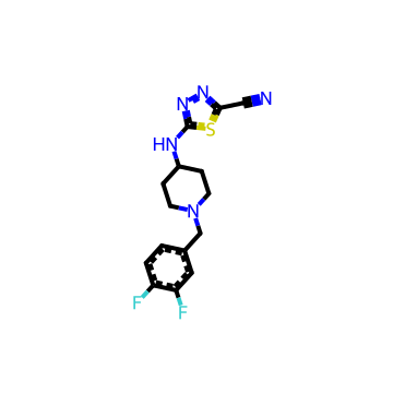 N#Cc1nnc(NC2CCN(Cc3ccc(F)c(F)c3)CC2)s1